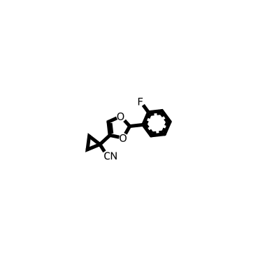 N#CC1(C2=COC(c3ccccc3F)O2)CC1